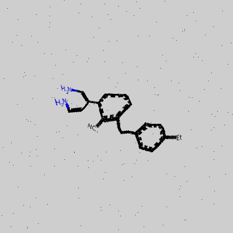 CCc1ccc(Cc2cccc(C(/C=C\N)=C/N)c2C#N)cc1